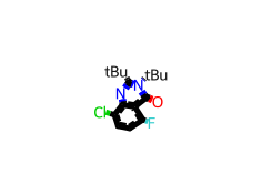 CC(C)(C)c1nc2c(Cl)ccc(F)c2c(=O)n1C(C)(C)C